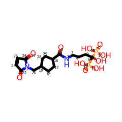 O=C(NCCCC(O)(P(=O)(O)O)P(=O)(O)O)C1CCC(CN2C(=O)C=CC2=O)CC1